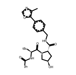 Cc1ncoc1-c1ccc(CNC(=O)[C@@H]2C[C@@H](O)CN2C(=O)[C@@H](NC(=O)C(C)C)C(C)(C)C)cc1